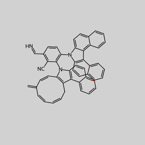 C=C1/C=C\C=C/Cc2c(n(-c3c(-n4c5ccc6ccccc6c5c5c6ccccc6ccc54)ccc(C=N)c3C#N)c3ccc4ccccc4c23)/C=C\1